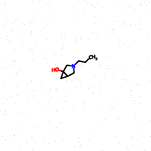 CCCN1CC2CC2(O)C1